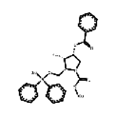 CC(C)(C)OC(=O)N1C[C@@H](OC(=O)c2ccccc2)[C@@H](O)[C@@H]1CO[Si](c1ccccc1)(c1ccccc1)C(C)(C)C